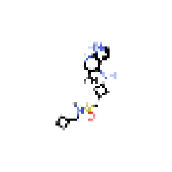 CN(CC1CCC1)S(=O)(=O)C[C@H]1C[C@@H](Nc2c(C#N)cnc3[nH]ccc23)C1